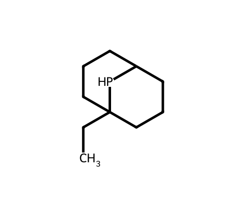 CCC12CCCC(CCC1)P2